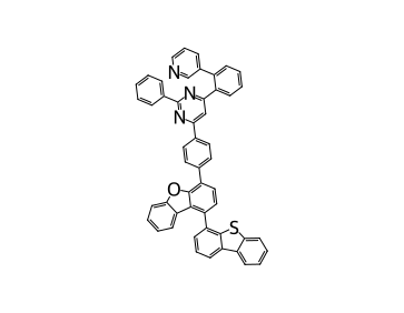 c1ccc(-c2nc(-c3ccc(-c4ccc(-c5cccc6c5sc5ccccc56)c5c4oc4ccccc45)cc3)cc(-c3ccccc3-c3cccnc3)n2)cc1